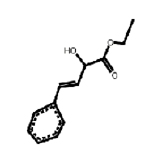 CCOC(=O)C(O)C=Cc1ccccc1